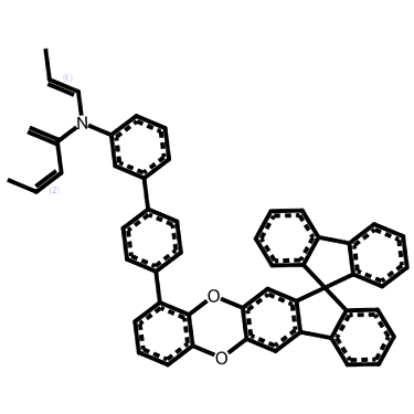 C=C(/C=C\C)N(/C=C/C)c1cccc(-c2ccc(-c3cccc4c3Oc3cc5c(cc3O4)-c3ccccc3C53c4ccccc4-c4ccccc43)cc2)c1